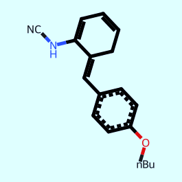 CCCCOc1ccc(C=C2CC=CC=C2NC#N)cc1